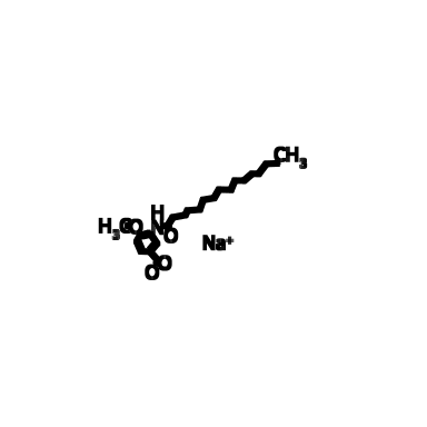 CCCCCCCCCCCCCCCC(=O)Nc1cc(C(=O)[O-])ccc1OC.[Na+]